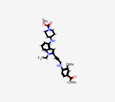 COC(=O)c1ccc(NCC#Cc2cc3c(NC4CCN(C(=O)OC(C)(C)C)CC4)cccc3n2CC(F)(F)F)c(OC)c1